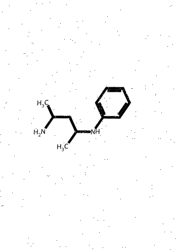 CC(N)CC(C)Nc1ccccc1